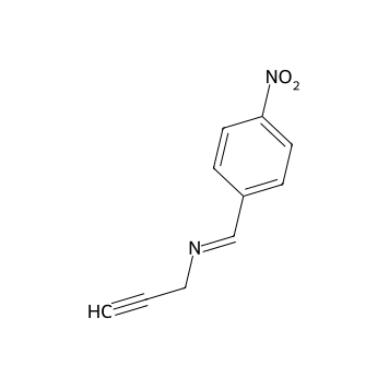 C#CCN=Cc1ccc([N+](=O)[O-])cc1